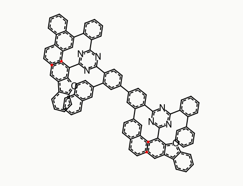 c1ccc(-c2ccccc2-c2nc(-c3ccc(-c4ccc(-c5nc(-c6ccccc6-c6cc7ccccc7c7ccccc67)nc(-c6cccc7c6oc6ccccc67)n5)c(-c5ccc6ccccc6c5)c4)cc3-c3ccc4ccccc4c3)nc(-c3cccc4c3oc3ccccc34)n2)cc1